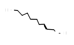 CCCCCCC/C=C/COC